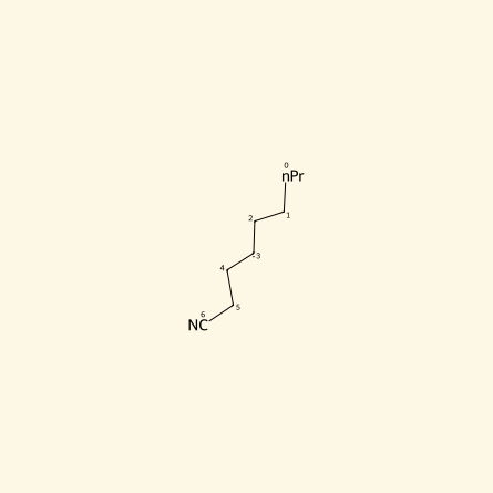 CCCCC[CH]CCC#N